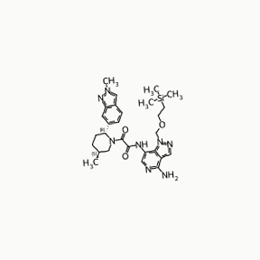 C[C@H]1CC[C@H](c2ccc3cn(C)nc3c2)N(C(=O)C(=O)Nc2cnc(N)c3cnn(COCC[Si](C)(C)C)c23)C1